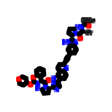 COC(=O)N[C@H](C(=O)N1CCC[C@H]1c1nc2ccc(C#Cc3ccc4cc(-c5cnc([C@@H]6CCCN6C(=O)[C@H](NC(=O)OC6CCOCC6)c6ccccc6)[nH]5)ccc4n3)cc2[nH]1)C(C)C